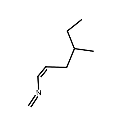 C=N/C=C\CC(C)CC